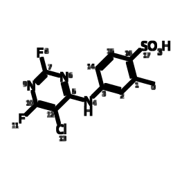 Cc1cc(Nc2nc(F)nc(F)c2Cl)ccc1S(=O)(=O)O